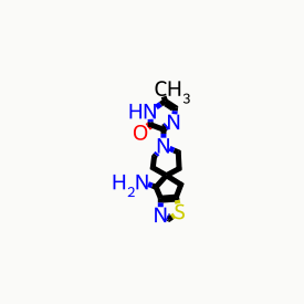 Cc1cnc(N2CCC3(CC2)Cc2scnc2C3N)c(=O)[nH]1